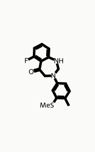 CSc1cc(N2CNc3cccc(F)c3C(=O)C2)ccc1C